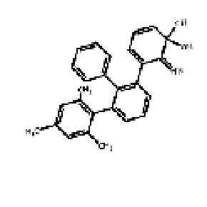 Cc1cc(C)c(-c2cccc(C3=CC=CC(O)(O)C3=N)c2-c2ccccc2)c(C)c1